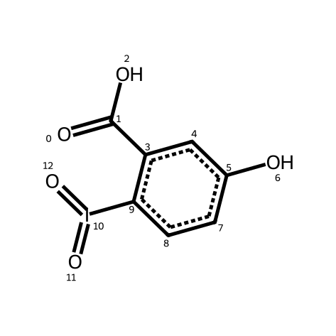 O=C(O)c1cc(O)ccc1I(=O)=O